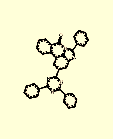 O=c1c2ccccc2c2cc(-c3nc(-c4ccccc4)nc(-c4ccccc4)n3)cc3nc(-c4ccccc4)n1c32